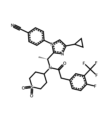 C[C@H](c1nc(C2CC2)cn1-c1ccc(C#N)cc1)N(C(=O)Cc1ccc(F)c(C(F)(F)F)c1)C1CCS(=O)(=O)CC1